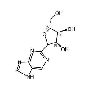 OC[C@H]1OC(c2ncc3[nH][c]nc3n2)[C@H](O)[C@@H]1O